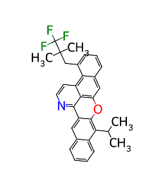 CC(C)c1c2c(cc3ccccc13)-c1nccc3c1c(cc1cccc(CC(C)(C)C(F)(F)F)c13)O2